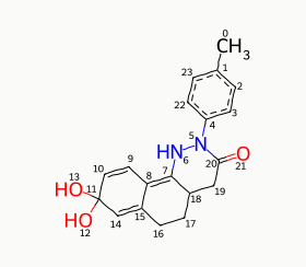 Cc1ccc(N2NC3=C4C=CC(O)(O)C=C4CCC3CC2=O)cc1